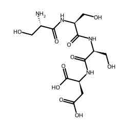 N[C@@H](CO)C(=O)N[C@@H](CO)C(=O)N[C@@H](CO)C(=O)N[C@@H](CC(=O)O)C(=O)O